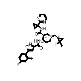 O=C(N[C@H]1CCN(C[C@H]2CC2(F)F)C[C@@H]1C(=O)NC1(c2ncccn2)CC1)c1cc(-c2ccc(F)cc2F)on1